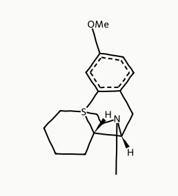 COc1ccc2c(c1)S13CCCC[C@H]1[C@@H](C2)N(C)CC3